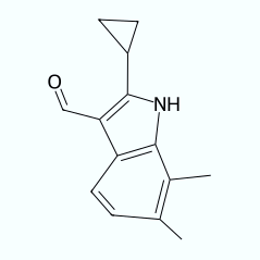 Cc1ccc2c(C=O)c(C3CC3)[nH]c2c1C